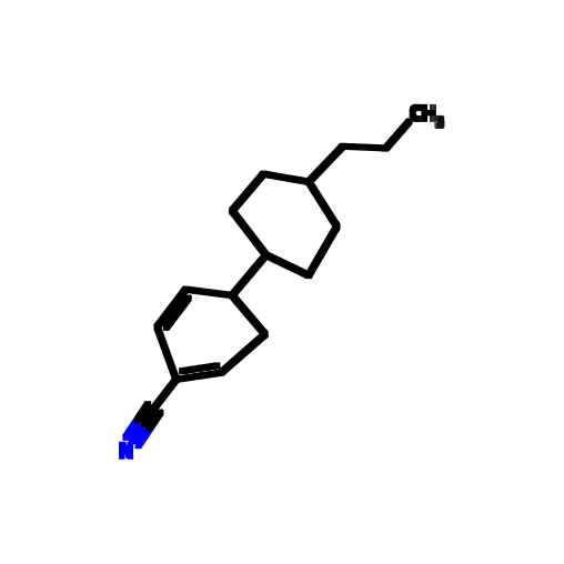 CCCC1CCC(C2C=CC(C#N)=CC2)CC1